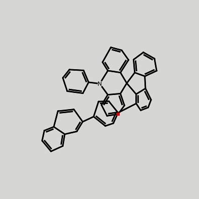 c1ccc(N2c3ccccc3C3(c4ccccc4-c4cccc(-c5ccc(-c6ccc7ccccc7c6)cc5)c43)c3ccccc32)cc1